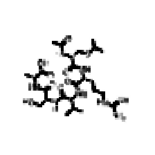 CC(=O)N[C@@H](CSC(C)C)C(=O)N[C@@H](CCCNC(=N)N)C(=O)N[C@H](C(=O)N[C@@H](CO)C(=O)N[C@@H](C)C(=O)O)C(C)C